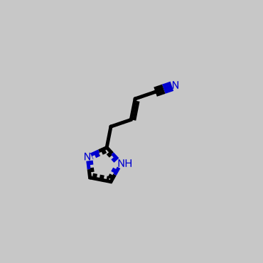 N#CC=CCc1ncc[nH]1